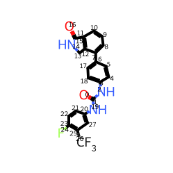 O=C(Nc1ccc(-c2cccc3c2CNC3=O)cc1)Nc1ccc(F)c(C(F)(F)F)c1